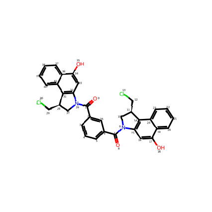 O=C(c1cccc(C(=O)N2C[C@@H](CCl)c3c2cc(O)c2ccccc32)c1)N1C[C@@H](CCl)c2c1cc(O)c1ccccc21